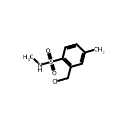 CNS(=O)(=O)c1ccc(C)cc1CCl